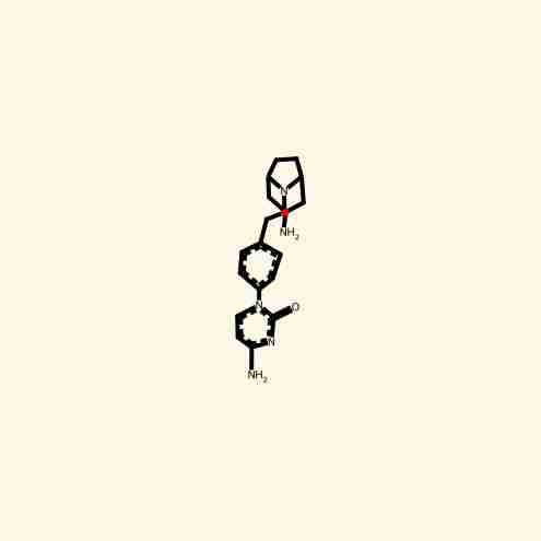 Nc1ccn(-c2ccc(CCN3C4CCC3CC(N)C4)cc2)c(=O)n1